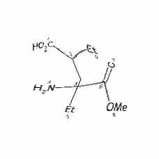 CCC(C(=O)O)C(N)(CC)C(=O)OC